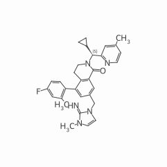 Cc1ccnc([C@H](C2CC2)N2CCc3c(cc(Cn4ccn(C)c4=N)cc3-c3ccc(F)cc3C)C2=O)c1